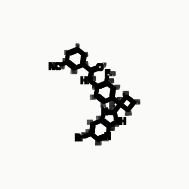 N#Cc1cccc(C(=O)Nc2ccc(C3(c4nc5cc(Br)cnc5[nH]4)CCC3)cc2F)c1